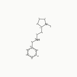 CN1CCCC1CCNCc1cc[c]cc1